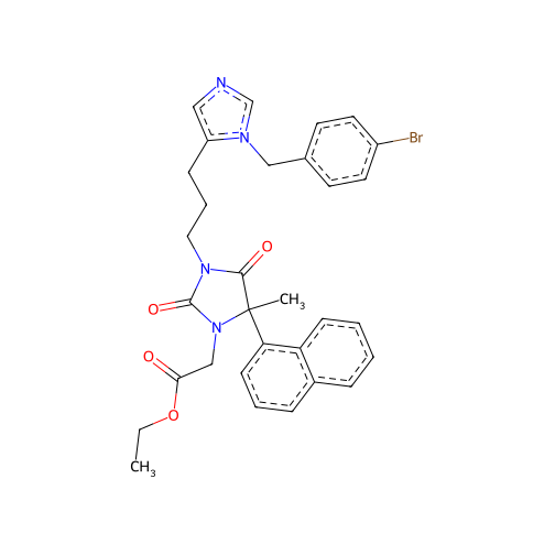 CCOC(=O)CN1C(=O)N(CCCc2cncn2Cc2ccc(Br)cc2)C(=O)C1(C)c1cccc2ccccc12